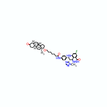 Cn1ncnc1[C@H]1c2n[nH]c(=O)c3cc(F)cc(c23)N[C@@H]1c1ccc(NC(=O)CCCCCCO[C@H]2CC[C@H]3[C@@H]4CC[C@H]5CC(=O)CC[C@]5(C)[C@H]4CC[C@]23C)cc1